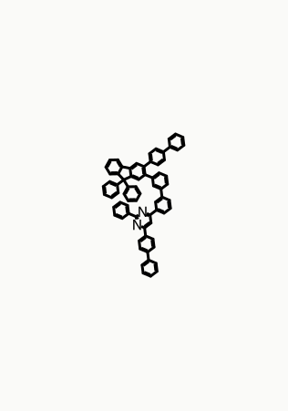 c1ccc(-c2ccc(-c3cc(-c4cccc(-c5cccc(-c6cc7c(cc6-c6ccc(-c8ccccc8)cc6)-c6ccccc6C7(c6ccccc6)c6ccccc6)c5)c4)nc(-c4ccccc4)n3)cc2)cc1